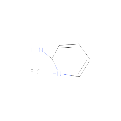 N[C@@]1(C(F)(F)F)C=CC=CN1